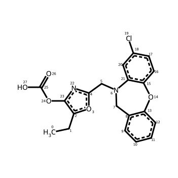 CCc1oc(CN2Cc3ccccc3Oc3ccc(Cl)cc32)nc1OC(=O)O